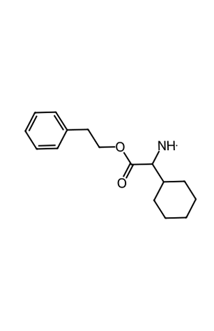 [NH]C(C(=O)OCCc1ccccc1)C1CCCCC1